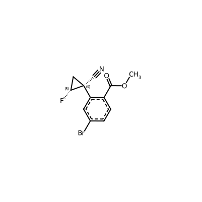 COC(=O)c1ccc(Br)cc1[C@]1(C#N)C[C@H]1F